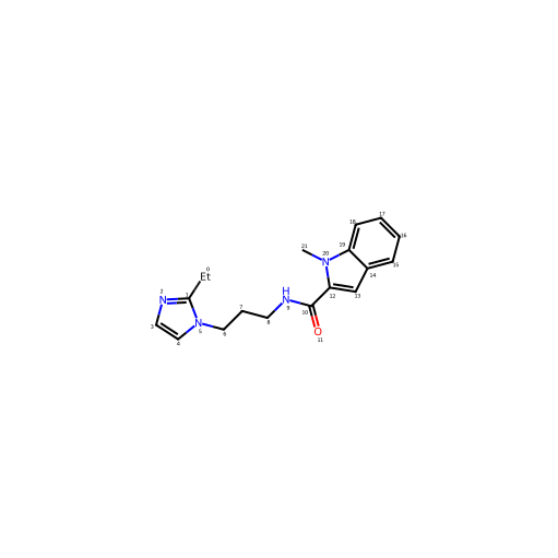 CCc1nccn1CCCNC(=O)c1cc2ccccc2n1C